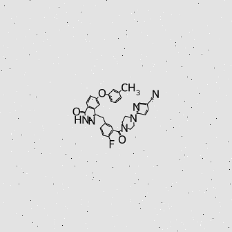 Cc1cccc(Oc2ccc3c(=O)[nH]nc(Cc4ccc(F)c(C(=O)N5CCN(c6ccc(C#N)cn6)CC5)c4)c3c2)c1